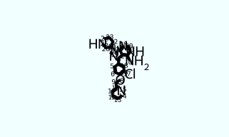 NC1=c2c(-c3ccc(OCc4ccccn4)c(Cl)c3)nn([C@@H]3CCCNC3)c2=NCN1